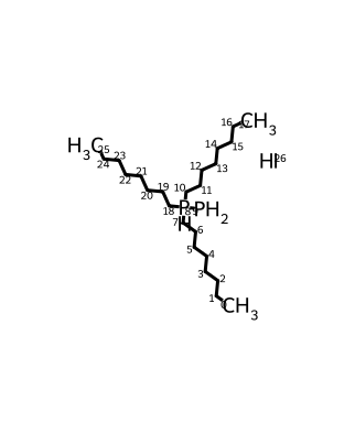 CCCCCCCC[PH](P)(CCCCCCCC)CCCCCCCC.I